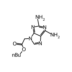 CCCCOC(=O)Cn1cnc2c(N)nc(N)nc21